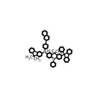 CC1(C)c2ccccc2-c2cc(N(c3ccc(-c4ccc5ccccc5c4)cc3)c3ccc4c(c3)C(C)(C)c3cc(C5(c6ccccc6)c6ccccc6-c6ccccc65)ccc3N4c3ccccc3)ccc21